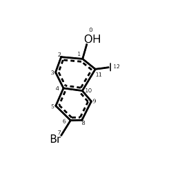 Oc1ccc2cc(Br)ccc2c1I